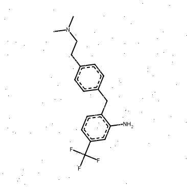 CN(C)CCc1ccc(Cc2ccc(C(F)(F)F)cc2N)cc1